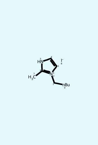 CCCCC[n+]1cc[nH]c1C.[I-]